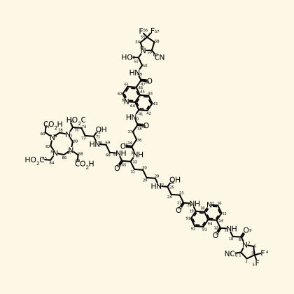 N#CC1CC(F)(F)CN1C(=O)CNC(=O)c1ccnc2c(NC(=O)CCC(O)NCCCCC(NC(=O)CCC(=O)Nc3cccc4c(C(=O)NCC(O)N5CC(F)(F)CC5C#N)ccnc34)C(=O)NCCNC(O)CCC(C(=O)O)N3CN(CC(=O)O)CN(CC(=O)O)CN(CC(=O)O)C3)cccc12